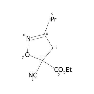 CCOC(=O)C1(C#N)CC(C(C)C)=NO1